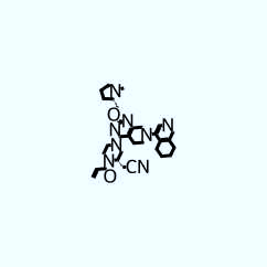 C=CC(=O)N1CCN(c2nc(OC[C@@H]3CCCN3C)nc3c2CCN(c2cncc4c2CCCC4)C3)C[C@@H]1CC#N